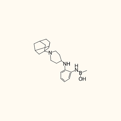 CB(O)Nc1ccccc1NC1CCN(C23CC4CC(CC(C4)C2)C3)CC1